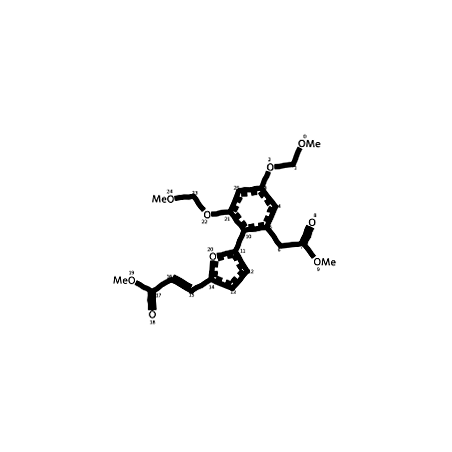 COCOc1cc(CC(=O)OC)c(-c2ccc(C=CC(=O)OC)o2)c(OCOC)c1